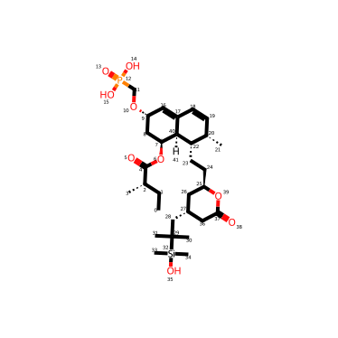 CC[C@H](C)C(=O)O[C@H]1C[C@H](OCP(=O)(O)O)C=C2C=C[C@H](C)[C@H](CC[C@@H]3C[C@@H](CC(C)(C)[Si](C)(C)O)CC(=O)O3)[C@H]21